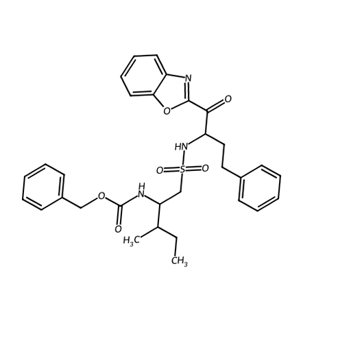 CCC(C)C(CS(=O)(=O)NC(CCc1ccccc1)C(=O)c1nc2ccccc2o1)NC(=O)OCc1ccccc1